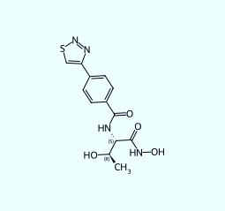 C[C@@H](O)[C@H](NC(=O)c1ccc(-c2csnn2)cc1)C(=O)NO